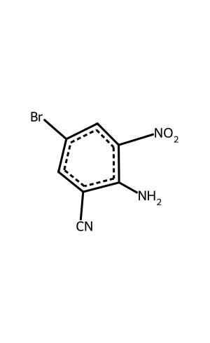 N#Cc1cc(Br)cc([N+](=O)[O-])c1N